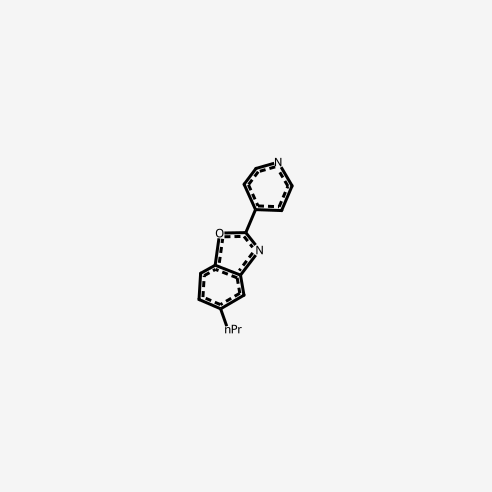 CCCc1ccc2oc(-c3ccncc3)nc2c1